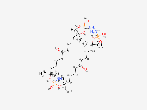 CC(C)(CCCCC(=O)CCCCC(C)(C)OP(N)(=O)OC(C)(C)CCCCC(=O)CCCCC(C)(C)OP(N)(=O)O)OP(N)(=O)O